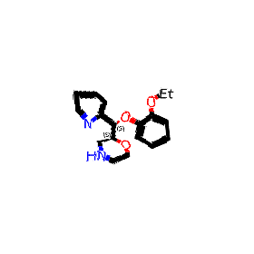 CCOc1ccccc1O[C@@H](c1ccccn1)[C@@H]1CNCCO1